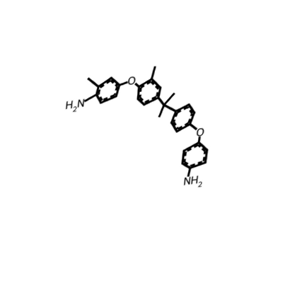 Cc1cc(Oc2ccc(C(C)(C)c3ccc(Oc4ccc(N)cc4)cc3)cc2C)ccc1N